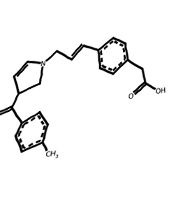 Cc1ccc(C(=O)C2C=CN(C/C=C/c3ccc(CC(=O)O)cc3)C2)cc1